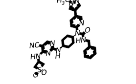 Cn1cc(-c2ccc(N(C(=O)NCc3ccccc3)[C@H]3CC[C@H](Nc4ncc(C#N)c(NC5CS(=O)(=O)C5)n4)CC3)nc2)cn1